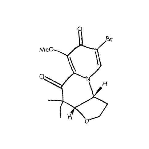 COc1c2n(cc(Br)c1=O)[C@@H]1CCO[C@@H]1C(C)(C)C2=O